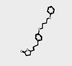 O=C1CCC(C=CCc2ccc(OCCCCOc3ccccc3)cc2)O1